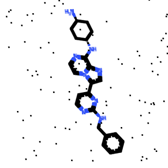 N[C@H]1CC[C@H](Nc2nccn3c(-c4ccnc(NCc5ccccc5)n4)cnc23)CC1